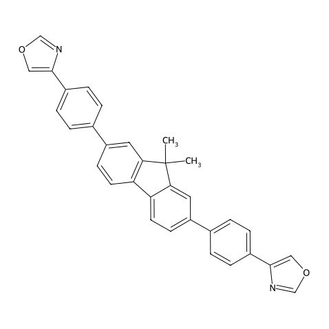 CC1(C)c2cc(-c3ccc(-c4cocn4)cc3)ccc2-c2ccc(-c3ccc(-c4cocn4)cc3)cc21